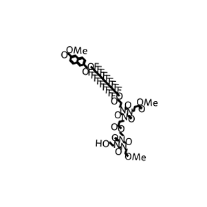 COCCn1c(=O)n(CCO)c(=O)n(CCOC(=O)CCn2c(=O)n(CCC(=O)OC)c(=O)n(CCC(=O)OC(F)(F)C(F)(F)C(F)(F)C(F)(F)C(F)(F)C(F)(F)C(F)(F)C(F)(F)C(F)(F)OC(=O)c3ccc4cc(C(=O)OC)ccc4c3)c2=O)c1=O